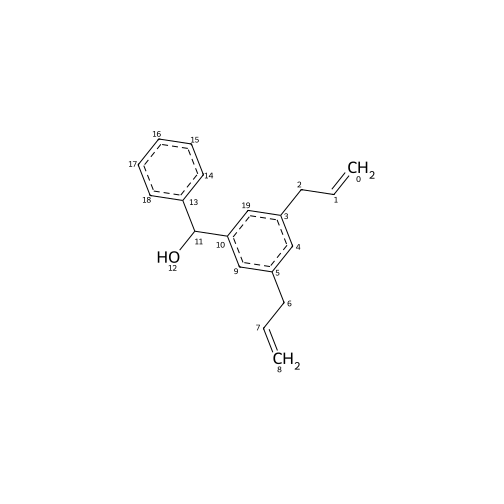 C=CCc1cc(CC=C)cc(C(O)c2ccccc2)c1